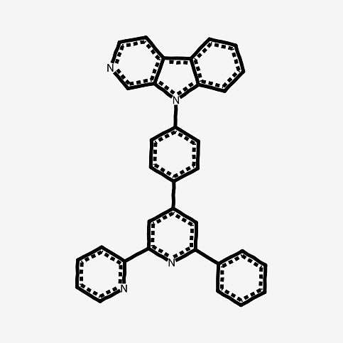 c1ccc(-c2cc(-c3ccc(-n4c5ccccc5c5ccncc54)cc3)cc(-c3ccccn3)n2)cc1